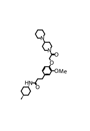 COc1cc(CCC(=O)N[C@H]2CC[C@H](C)CC2)ccc1OCC(=O)N1CCC(N2CCCCC2)CC1